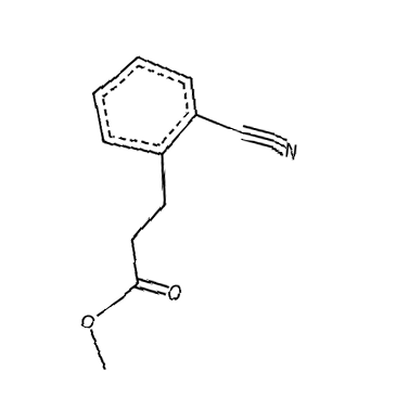 COC(=O)CCc1ccccc1C#N